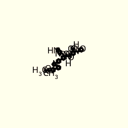 CN(C)C(=O)CN1CCC(c2ccccc2[C@H]2CCCN2c2ccc(-c3ccc(C(=O)NS(=O)(=O)c4ccc(NCC5CCOCC5)c([N+](=O)[O-])c4)c(Oc4cnc5[nH]ccc5c4)c3)cc2)CC1